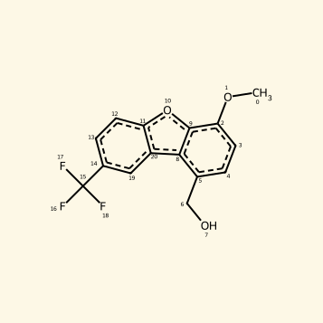 COc1ccc(CO)c2c1oc1ccc(C(F)(F)F)cc12